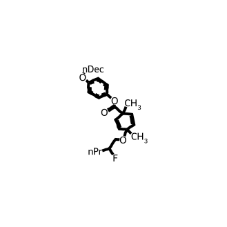 CCCCCCCCCCOc1ccc(OC(=O)C2(C)C=CC(C)(OCC(F)CCC)C=C2)cc1